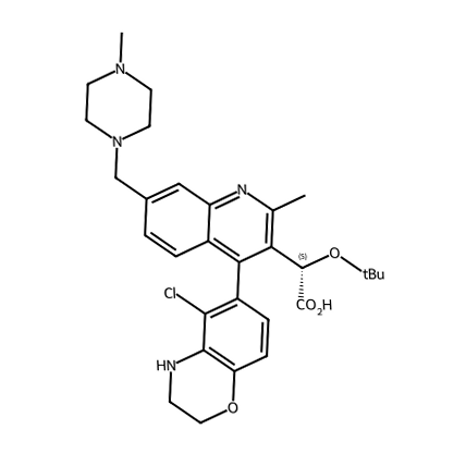 Cc1nc2cc(CN3CCN(C)CC3)ccc2c(-c2ccc3c(c2Cl)NCCO3)c1[C@H](OC(C)(C)C)C(=O)O